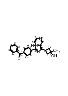 CC1(O)CC(C2=C3C=NC=C[N+]3(N)C(c3ccc(C(=O)c4ccccc4)cc3)=N2)C1